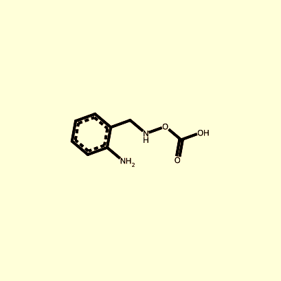 Nc1ccccc1CNOC(=O)O